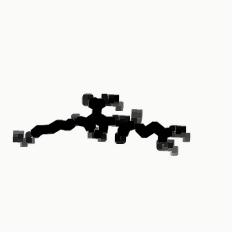 CCCCCSc1nsc(NC(=O)NCCC(C)C)c1C(N)=O